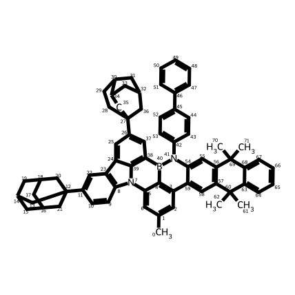 Cc1cc2c3c(c1)-n1c4ccc(C56CC7CC(CC(C7)C5)C6)cc4c4cc(C56CCC7CC(CC7C5)C6)cc(c41)B3N(c1ccc(-c3ccccc3)cc1)c1cc3c(cc1-2)C(C)(C)c1ccccc1C3(C)C